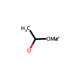 COC(C)[O-].[Li+]